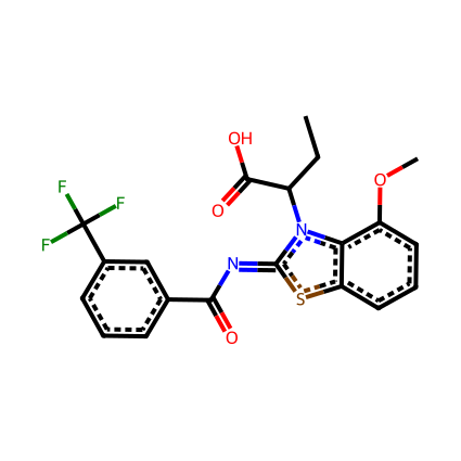 CCC(C(=O)O)n1c(=NC(=O)c2cccc(C(F)(F)F)c2)sc2cccc(OC)c21